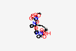 COC(=O)[C@@H]1C[C@@H](Oc2nc3ccccc3c(OCc3ccccc3)c2C#CCCC[C@@H]2C[C@H]2OC(=O)NC(C(=O)O)C2(C)CCCCC2)CN1C(=O)OC(C)(C)C